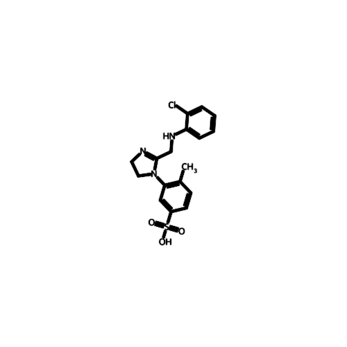 Cc1ccc(S(=O)(=O)O)cc1N1CCN=C1CNc1ccccc1Cl